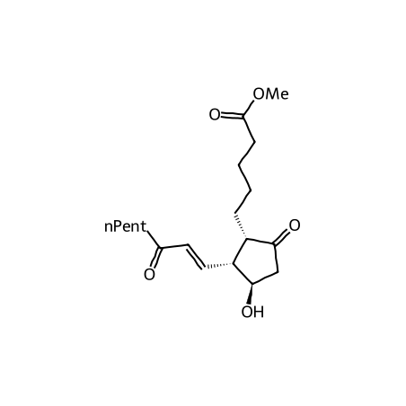 CCCCCC(=O)C=C[C@H]1[C@H](O)CC(=O)[C@H]1CCCCC(=O)OC